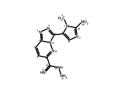 Cn1c(-c2nnc3ccc(C(=N)NN)nn23)cnc1[N+](=O)[O-]